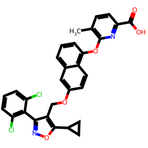 Cc1ccc(C(=O)O)nc1Oc1cccc2cc(OCc3c(-c4c(Cl)cccc4Cl)noc3C3CC3)ccc12